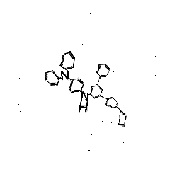 c1ccc(-c2cc(Nc3ccc(N(c4ccccc4)c4ccccc4)cc3)cc(-c3ccc(C4CCC4)cc3)c2)cc1